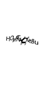 CC(C)(C)N1C=CC(NC(=O)O)=CC1